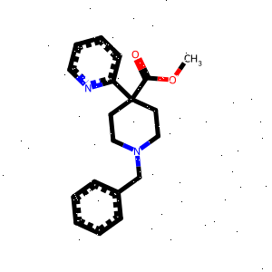 COC(=O)C1(c2ccccn2)CCN(Cc2ccccc2)CC1